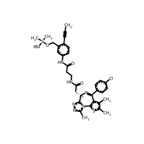 [CH2]C#Cc1ccc(NC(=O)CCNC(=O)C[C@@H]2N=C(c3ccc(Cl)cc3)c3c(sc(C)c3C)-n3c(C)nnc32)cc1CO[Si](C)(C)C(C)(C)C